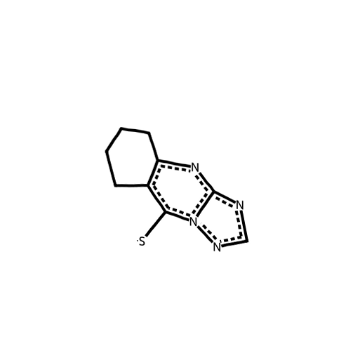 [S]c1c2c(nc3ncnn13)CCCC2